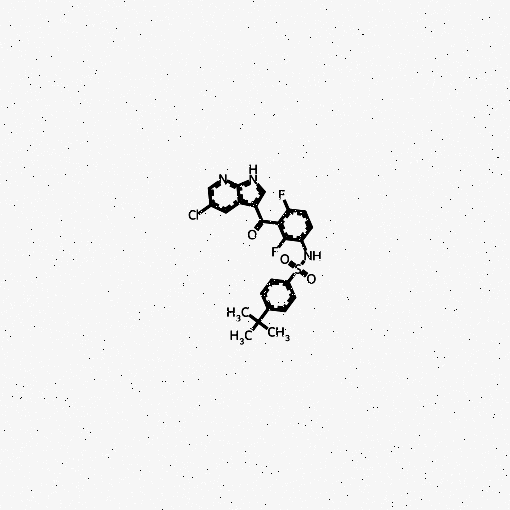 CC(C)(C)c1ccc(S(=O)(=O)Nc2ccc(F)c(C(=O)c3c[nH]c4ncc(Cl)cc34)c2F)cc1